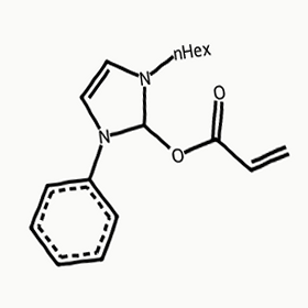 C=CC(=O)OC1N(CCCCCC)C=CN1c1ccccc1